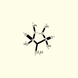 CCCOP(=O)(O)C(C(=O)OCC)P(=O)(O)OCCC